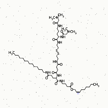 CCCCCC/C=C\COC(=O)CCCNC(=O)C(CCC(=O)NCCCCCCCCCCCCCC)NC(=O)CCC(=O)NCCSSCCNC(=O)C(CCCNC(=O)CN(C)C)NC(=O)CN(C)C